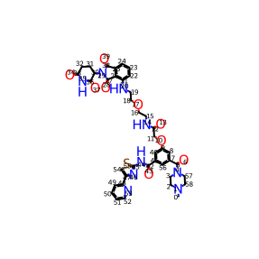 CN1CCN(C(=O)c2cc(OCC(=O)NCCOCCNc3cccc4c3C(=O)N(C3CCC(=O)NC3=O)C4=O)cc(C(=O)Nc3nc(-c4ccccn4)cs3)c2)CC1